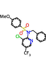 COc1ccc(S(=O)(=O)N(Cc2ccccc2)c2ncc(C(F)(F)F)cc2Cl)cc1